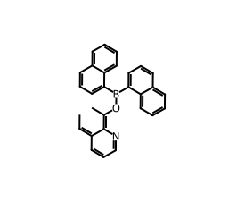 C/C=c1/cccn/c1=C(/C)OB(c1cccc2ccccc12)c1cccc2ccccc12